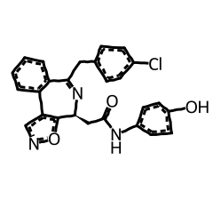 O=C(C[C@@H]1N=C(Cc2ccc(Cl)cc2)c2ccccc2-c2cnoc21)Nc1ccc(O)cc1